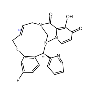 O=C1c2c(O)c(=O)ccn2N2CN1C/C=C/CCc1cc(F)ccc1[C@@H]2c1ccccn1